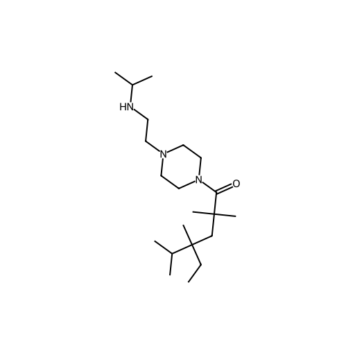 CCC(C)(CC(C)(C)C(=O)N1CCN(CCNC(C)C)CC1)C(C)C